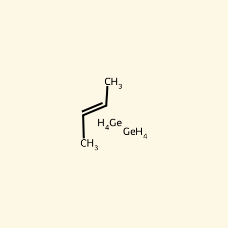 CC=CC.[GeH4].[GeH4]